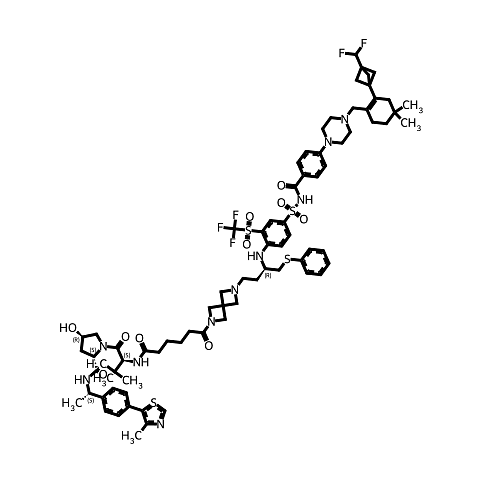 Cc1ncsc1-c1ccc([C@H](C)NC(=O)[C@@H]2C[C@@H](O)CN2C(=O)[C@@H](NC(=O)CCCCC(=O)N2CC3(CN(CC[C@H](CSc4ccccc4)Nc4ccc(S(=O)(=O)NC(=O)c5ccc(N6CCN(CC7=C(C89CC(C(F)F)(C8)C9)CC(C)(C)CC7)CC6)cc5)cc4S(=O)(=O)C(F)(F)F)C3)C2)C(C)(C)C)cc1